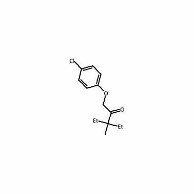 CCC(C)(CC)C(=O)COc1ccc(Cl)cc1